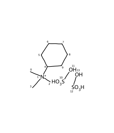 C[N+](C)(C)C1CCCCC1.O=S(=O)(O)O.O=S(=O)(O)O